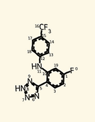 Fc1ccc(-c2nn[nH]n2)c(Nc2ccc(C(F)(F)F)cc2)c1